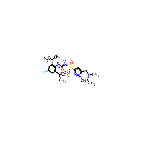 CCN(C)Cc1cc(S(=O)(=O)NC(=O)Nc2c(C(C)C)cc(F)cc2C(C)C)nn1C